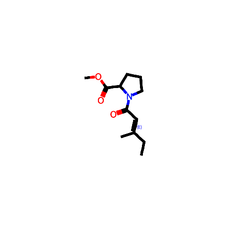 CC/C(C)=C/C(=O)N1CCCC1C(=O)OC